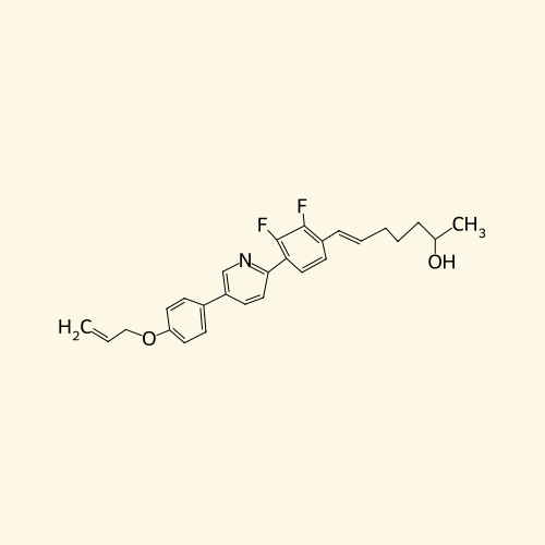 C=CCOc1ccc(-c2ccc(-c3ccc(C=CCCCC(C)O)c(F)c3F)nc2)cc1